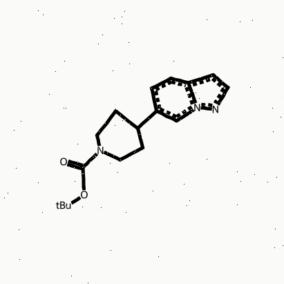 CC(C)(C)OC(=O)N1CCC(c2ccc3ccnn3c2)CC1